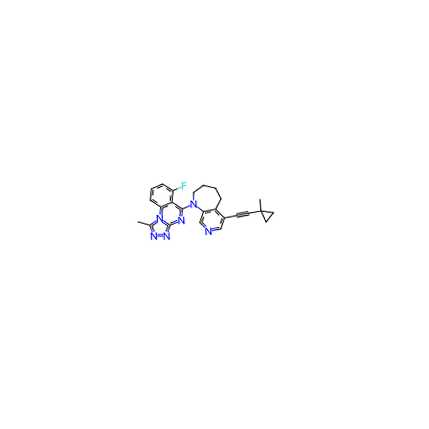 Cc1nnc2nc(N3CCCCc4c(C#CC5(C)CC5)cncc43)c3c(F)cccc3n12